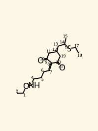 CCONCCCC=C1C(=O)CC(CC(C)SCC)CC1=O